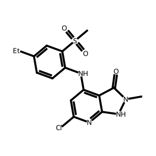 CCc1ccc(Nc2cc(Cl)nc3[nH]n(C)c(=O)c23)c(S(C)(=O)=O)c1